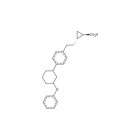 O=C(O)[C@@H]1C[C@H]1CCc1ccc(C2CCCC(Oc3ccccc3)C2)cc1